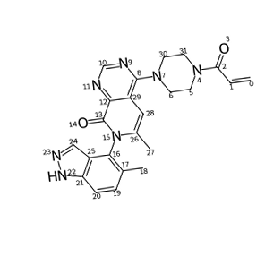 C=CC(=O)N1CCN(c2ncnc3c(=O)n(-c4c(C)ccc5[nH]ncc45)c(C)cc23)CC1